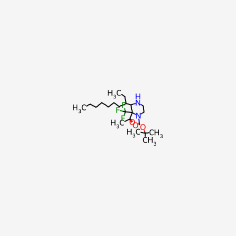 CCCCCCCC(CC)C1NCCN(C(=O)OC(C)(C)C)C1(C(C)=O)C(F)(F)F